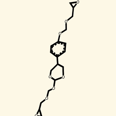 c1cc(C2COC(OCOCC3CO3)OC2)ccc1OCOCC1CO1